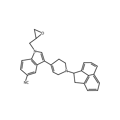 [C-]#[N+]c1ccc2c(c1)c(C1=CCN(C3Cc4cccc5cccc3c45)CC1)cn2CC1CO1